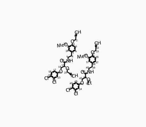 C#CCOc1ccc(CCNC(=O)C(COc2ccc(Cl)c(Cl)c2)OCC#C)cc1OC.C#CCOc1ccc(CCNC(=O)C(COc2ccc(Cl)c(Cl)c2)OCC)cc1OC